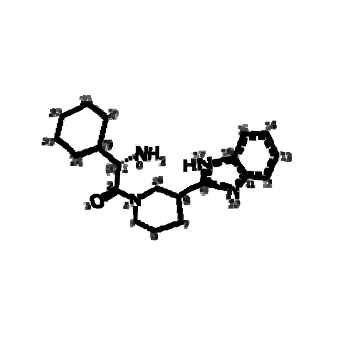 N[C@H](C(=O)N1CCCC(c2nc3ccccc3[nH]2)C1)C1CCCCC1